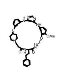 COc1ccc2cc1OCCNC(=O)C(CCc1ccccc1)NC(=O)CN1CCC(CC1)Cc1cccc(c1)Nc1cc(ncn1)N2